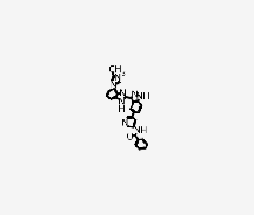 Cc1cn(-c2cccc3[nH]c(-c4n[nH]c5ccc(-c6cncc(NC(=O)c7ccccc7)c6)cc45)nc23)cn1